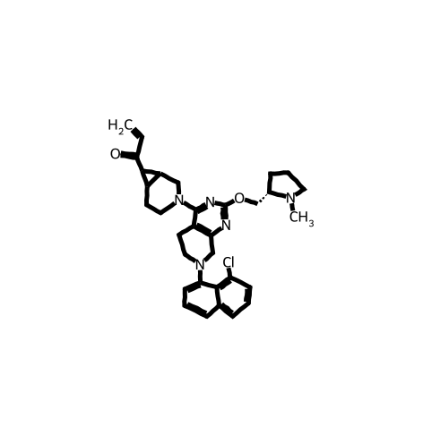 C=CC(=O)C1C2CCN(c3nc(OC[C@@H]4CCCN4C)nc4c3CCN(c3cccc5cccc(Cl)c35)C4)CC21